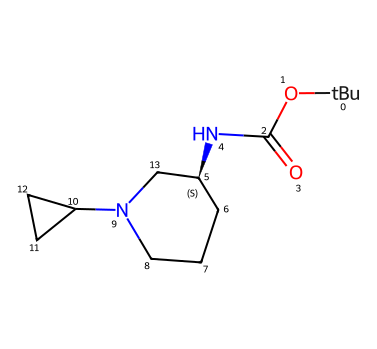 CC(C)(C)OC(=O)N[C@H]1CCCN(C2CC2)C1